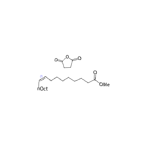 CCCCCCCC/C=C\CCCCCCCC(=O)OC.O=C1CCC(=O)O1